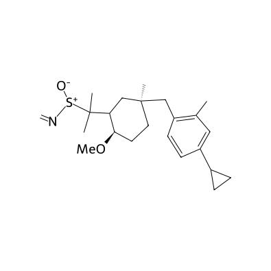 C=N[S+]([O-])C(C)(C)C1C[C@@](C)(Cc2ccc(C3CC3)cc2C)CC[C@H]1OC